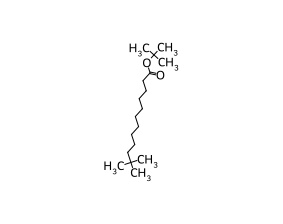 CC(C)(C)CCCCCCCCCC(=O)OC(C)(C)C